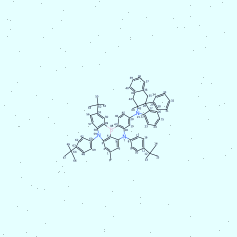 Cc1cc2c3c(c1)N(c1ccc(C(C)(C)C)cc1)c1cc(N4c5ccccc5C5(c6ccccc6)Cc6ccccc6CC45C)ccc1B3c1cc(C(C)(C)C)ccc1N2c1ccc(C(C)(C)C)cc1